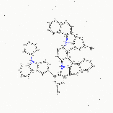 CC(C)(C)c1cc(-c2ccc3c(c2)c2ccccc2n3-c2ccccc2)c2c(c1)c1cc3ccccc3c3c4c5c6cc(C(C)(C)C)cc7c8ccc9ccccc9c8n(c5ccc4n2c13)c76